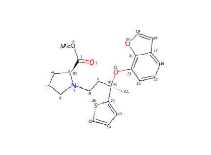 COC(=O)[C@@H]1CCCN1CC[C@@](C)(Oc1cccc2ccoc12)c1cccs1